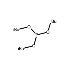 CCC(C)OP(OC(C)CC)OC(C)CC